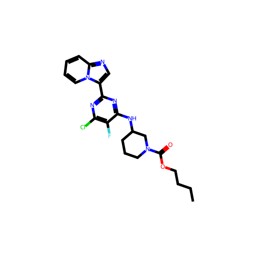 CCCCOC(=O)N1CCCC(Nc2nc(-c3cnc4ccccn34)nc(Cl)c2F)C1